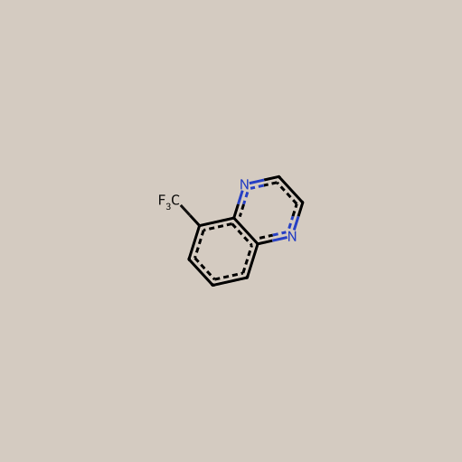 FC(F)(F)c1cccc2nccnc12